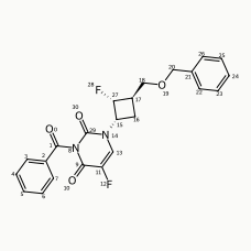 O=C(c1ccccc1)n1c(=O)c(F)cn([C@H]2C[C@H](COCc3ccccc3)[C@H]2F)c1=O